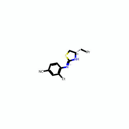 CCc1cc(C#N)ccc1/N=C1/N[C@@H](CC(C)C)CS1